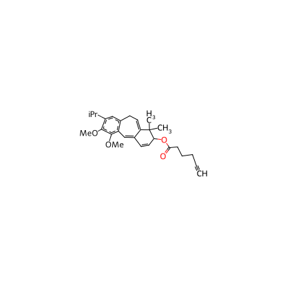 C#CCCCC(=O)OC1C=CC2=Cc3c(cc(C(C)C)c(OC)c3OC)CC=C2C1(C)C